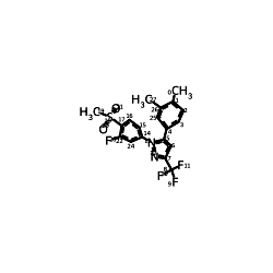 Cc1ccc(-c2cc(C(F)(F)F)nn2-c2ccc(S(C)(=O)=O)c(F)c2)cc1C